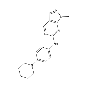 Cn1ncc2cnc(Nc3ccc(N4CCCCC4)cc3)nc21